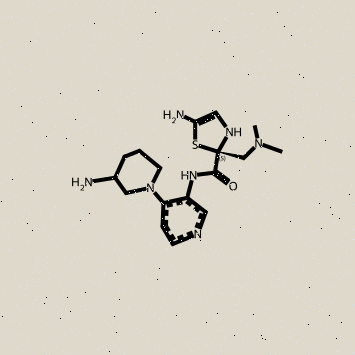 CN(C)C[C@]1(C(=O)Nc2cnccc2N2CCCC(N)C2)NC=C(N)S1